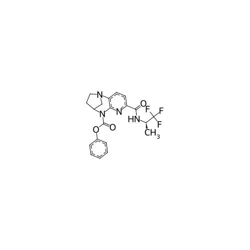 C[C@@H](NC(=O)c1ccc2c(n1)N(C(=O)Oc1ccccc1)C1CCN2C1)C(F)(F)F